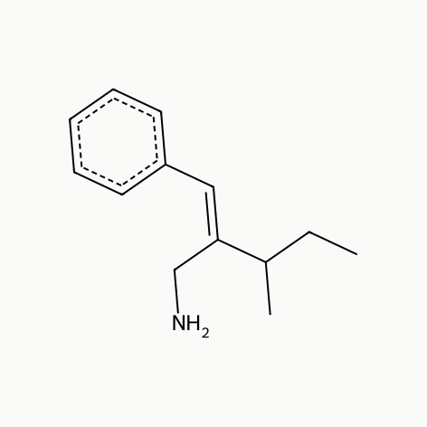 CCC(C)C(=Cc1ccccc1)CN